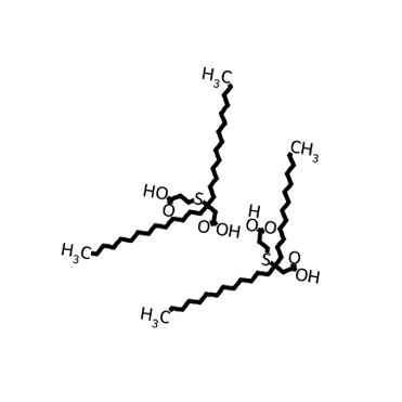 CCCCCCCCCCCCCC(CCCCCCCCCCCCC)(CC(=O)O)SCCC(=O)O.CCCCCCCCCCCCCCC(CCCCCCCCCCCCCC)(CC(=O)O)SCCC(=O)O